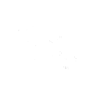 CCOC(=O)c1c(CNC(=N)N)n(C)c2ccc(Br)cc12